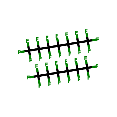 FC(F)(F)C(F)(F)C(F)(F)C(F)(F)C(F)(F)C(F)(F)C(F)(F)F.FC(F)(F)C(F)(F)C(F)(F)C(F)(F)C(F)(F)C(F)(F)F